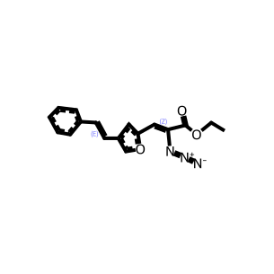 CCOC(=O)/C(=C/c1cc(/C=C/c2ccccc2)co1)N=[N+]=[N-]